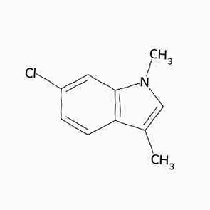 Cc1cn(C)c2cc(Cl)ccc12